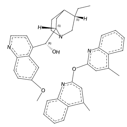 CC[C@@H]1CN2CCC1C[C@H]2[C@H](O)c1ccnc2ccc(OC)cc12.Cc1cc(Oc2cc(C)c3ccccc3n2)nc2ccccc12